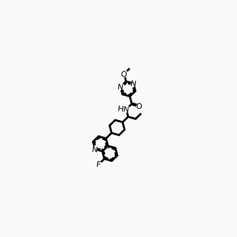 CCC(NC(=O)c1cnc(OC)nc1)C1CCC(c2ccnc3c(F)cccc23)CC1